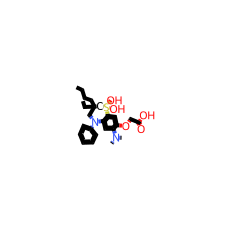 CCCCC1(CC)CN(c2ccccc2)c2cc(N(C)C)c(OCC(=O)O)cc2S(O)(O)C1